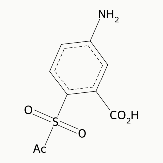 CC(=O)S(=O)(=O)c1ccc(N)cc1C(=O)O